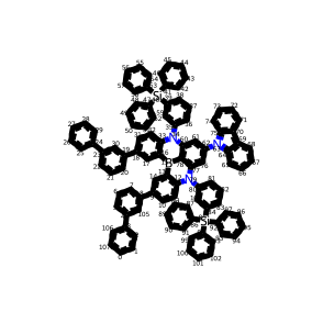 c1ccc(-c2cccc(-c3ccc4c(c3)B3c5cc(-c6cccc(-c7ccccc7)c6)ccc5N(c5cccc([Si](c6ccccc6)(c6ccccc6)c6ccccc6)c5)c5cc(-n6c7ccccc7c7ccccc76)cc(c53)N4c3cccc([Si](c4ccccc4)(c4ccccc4)c4ccccc4)c3)c2)cc1